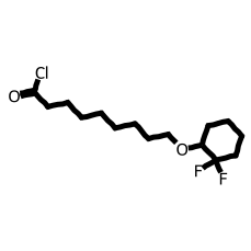 O=C(Cl)CCCCCCCCOC1CCCCC1(F)F